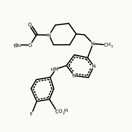 CN(CC1CCN(C(=O)OC(C)(C)C)CC1)c1cc(Nc2ccc(F)c(C(=O)O)c2)ncn1